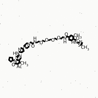 CC(=O)c1c(C)c2cnc(Nc3ccc(N4CCN(CC(=O)NCCOCCOCCOCCOCCNC(=O)c5ccc(C(=O)Nc6ncc(C)s6)c(C)c5)CC4)cn3)nc2n(C2CCCC2)c1=O